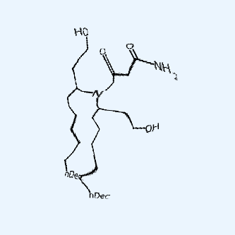 CCCCCCCCCCCCCCCC(CCO)N(C(=O)CC(N)=O)C(CCO)CCCCCCCCCCCCCCC